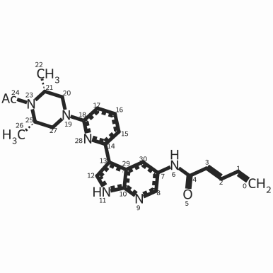 C=C/C=C/C(=O)Nc1cnc2[nH]cc(-c3cccc(N4C[C@@H](C)N(C(C)=O)[C@@H](C)C4)n3)c2c1